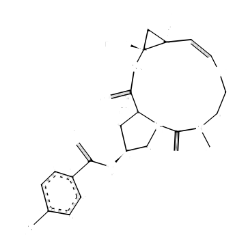 CCOC(=O)[C@@]12C[C@H]1/C=C\CCCN(C)C(=O)N1C[C@@H](OC(=O)c3ccc([N+](=O)[O-])cc3)C[C@H]1C(=O)N2